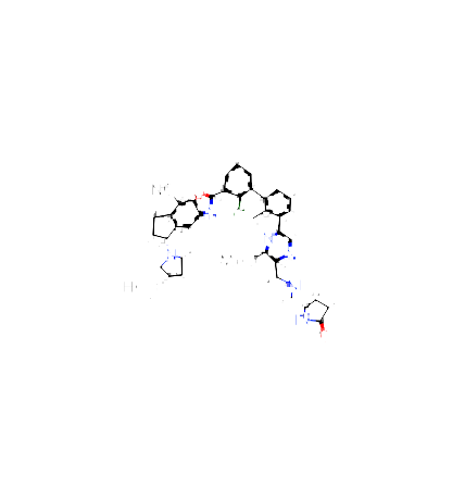 COc1nc(-c2cccc(-c3cccc(-c4nc5cc6c(c(C#N)c5o4)CC[C@H]6N4CC[C@@H](C(=O)O)C4)c3Cl)c2C)cnc1CNC[C@@H]1CCC(=O)N1